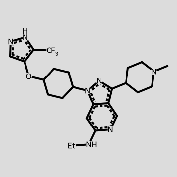 CCNc1cc2c(cn1)c(C1CCN(C)CC1)nn2C1CCC(Oc2cn[nH]c2C(F)(F)F)CC1